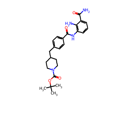 CC(C)(C)OC(=O)N1CCC(Cc2ccc(C(=O)Nc3cccc(C(N)=O)c3N)cc2)CC1